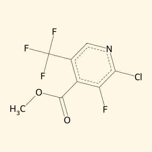 COC(=O)c1c(C(F)(F)F)cnc(Cl)c1F